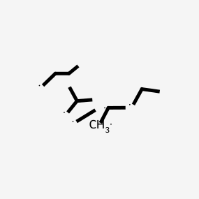 C[CH]C.[CH2]C.[CH2]C(C)C.[CH2]CC.[CH2]CCC.[CH3]